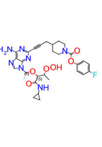 CC(OO)[C@H](O[C@H](C)n1cnc2c(N)nc(C#CCC3CCN(C(=O)Oc4ccc(F)cc4)CC3)nc21)C(=O)NC1CC1